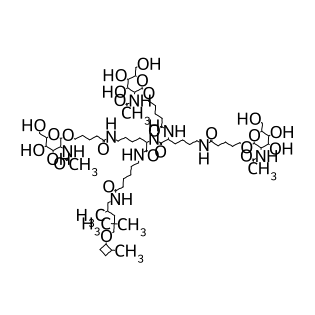 CC(=O)NC1C(OCCCCC(=O)NCCCCC(NC(=O)CCCCOC2OC(CO)C(O)C(O)C2NC(C)=O)C(=O)NC(CCCCNC(=O)CCCCOC2OC(CO)C(O)C(O)C2NC(C)=O)C(=O)NCCCCCC(=O)NCC(C)CC(C)(C)COC2CCC2C)OC(CO)C(O)C1O